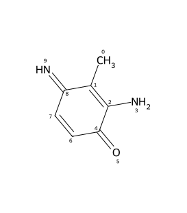 CC1=C(N)C(=O)C=CC1=N